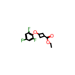 CCOC(=O)C1CC(Oc2c(F)cc(F)cc2F)C1